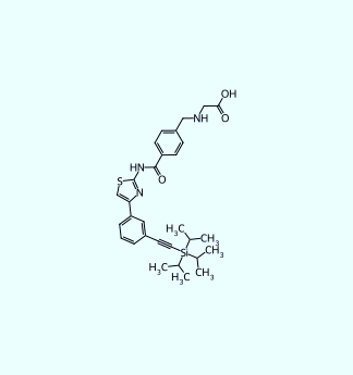 CC(C)[Si](C#Cc1cccc(-c2csc(NC(=O)c3ccc(CNCC(=O)O)cc3)n2)c1)(C(C)C)C(C)C